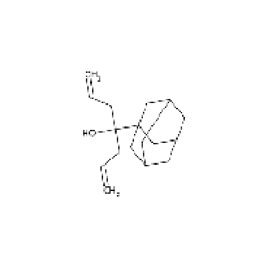 C=CCC(O)(CC=C)C12CC3CC(CC(C3)C1)C2